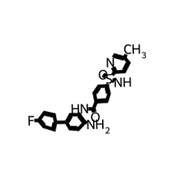 Cc1ccc(S(=N)(=O)c2ccc(C(=O)Nc3cc(-c4ccc(F)cc4)ccc3N)cc2)nc1